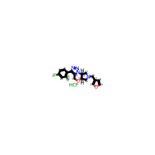 Cl.Fc1ccc(-c2nnn3c2CO[C@@H]2CN(Cc4ccoc4)C[C@H]23)c(F)c1